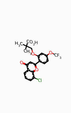 CC(C)(COc1cc(OC(F)(F)F)ccc1-c1cc(=O)c2cccc(Cl)c2o1)C(=O)O